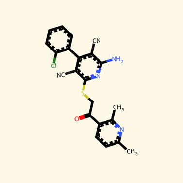 Cc1ccc(C(=O)CSc2nc(N)c(C#N)c(-c3ccccc3Cl)c2C#N)c(C)n1